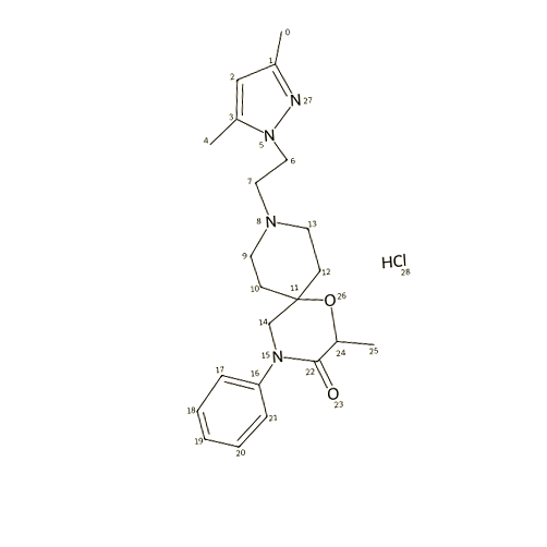 Cc1cc(C)n(CCN2CCC3(CC2)CN(c2ccccc2)C(=O)C(C)O3)n1.Cl